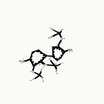 Nc1ccc(-c2ccc(N)c(OC(F)(F)F)c2OC(F)(F)F)cc1OC(F)(F)F